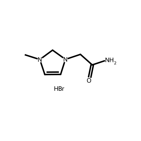 Br.CN1C=CN(CC(N)=O)C1